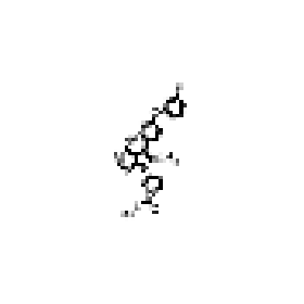 Cc1c(-c2ccc(Oc3cccc(F)c3)cc2)c2c(N)ncnc2n1[C@@H]1CCN(C(=O)OC(C)(C)C)C1